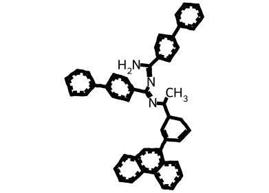 CC(/N=C(\N=C(/N)c1ccc(-c2ccccc2)cc1)c1ccc(-c2ccccc2)cc1)C1C=C(c2cc3ccccc3c3ccccc23)C=CC1